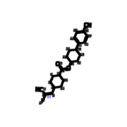 N#C/C(F)=C\C1CCC(C(=O)OC2CCC(c3ccc(C#N)cc3)CC2)CC1